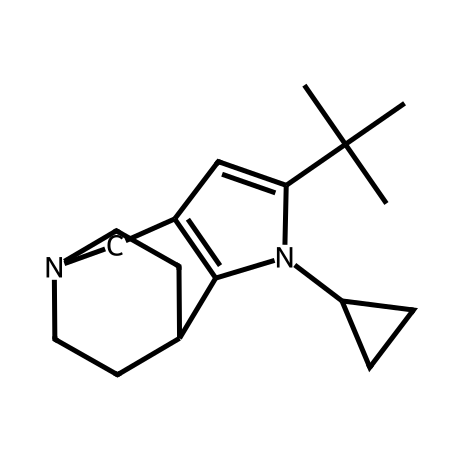 CC(C)(C)c1cc2c(n1C1CC1)C1CCN(CC1)C2